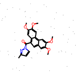 COc1cc2cc(C(=O)n3ccc(C)n3)c3cc(OC)c(OC)cc3c2cc1OC